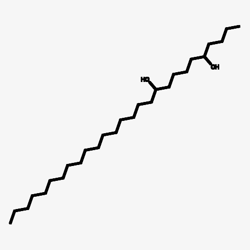 CCCCCCCCCCCCCCCCCC(O)CCCCC(O)CCCC